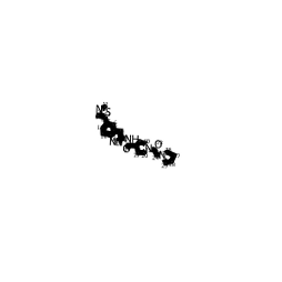 O=C(Nc1cc2cc(-c3cncs3)ccc2nn1)C1CCN(C(=O)CN2CCCC2)CC1